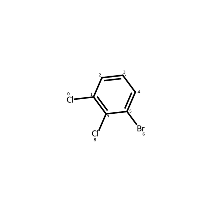 Clc1c[c]cc(Br)c1Cl